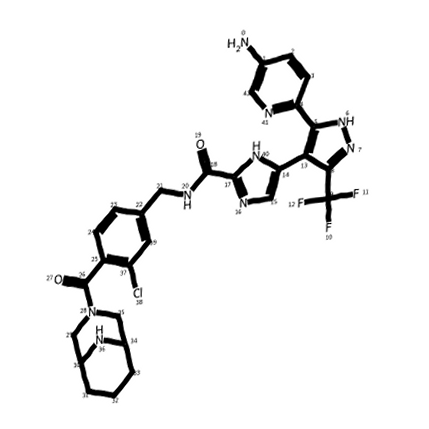 Nc1ccc(-c2[nH]nc(C(F)(F)F)c2-c2cnc(C(=O)NCc3ccc(C(=O)N4CC5CCCC(C4)N5)c(Cl)c3)[nH]2)nc1